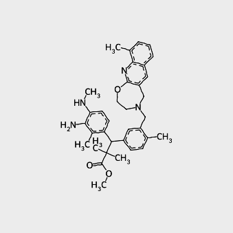 CNc1ccc(C(c2ccc(C)c(CN3CCOc4nc5c(C)cccc5cc4C3)c2)C(C)(C)C(=O)OC)c(C)c1N